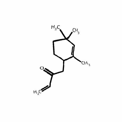 C=CC(=O)CC1CCC(C)(C)C=C1C